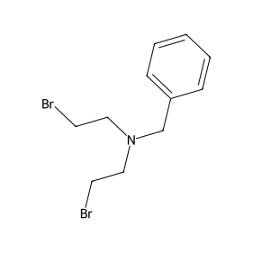 BrCCN(CCBr)Cc1ccccc1